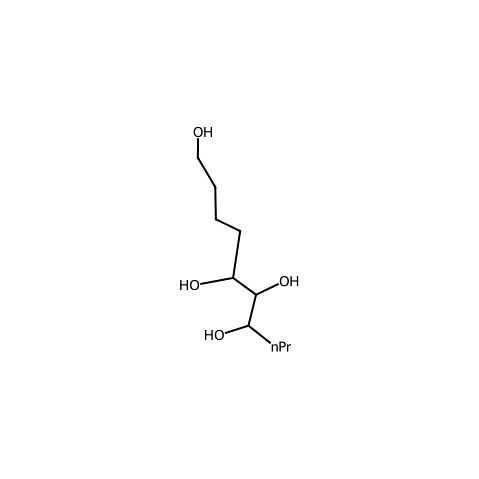 CCCC(O)C(O)C(O)CCCCO